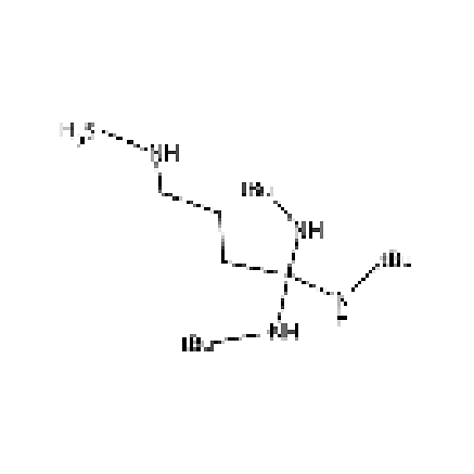 CC(C)(C)NC(CCCN[SiH3])(NC(C)(C)C)NC(C)(C)C